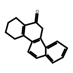 O=C1Cc2c(ccc3ccccc23)C2=C1CCCC2